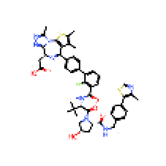 Cc1ncsc1-c1ccc([C@H](C)NC(=O)[C@@H]2C[C@@H](O)CN2C(=O)[C@@H](NC(=O)c2cccc(-c3ccc(C4=N[C@@H](CC(=O)O)c5nnc(C)n5-c5sc(C)c(C)c54)cc3)c2F)C(C)(C)C)cc1